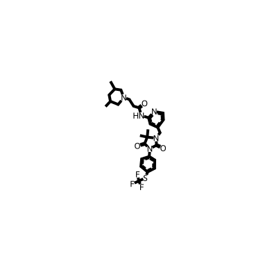 CC1CC(C)CN(CCC(=O)Nc2cc(CN3C(=O)N(c4ccc(SC(F)(F)F)cc4)C(=O)C3(C)C)ccn2)C1